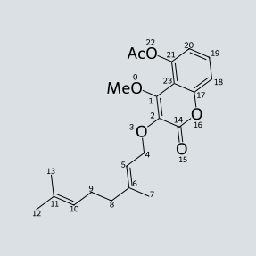 COc1c(OC/C=C(\C)CCC=C(C)C)c(=O)oc2cccc(OC(C)=O)c12